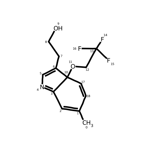 CC1=CC2=NC=C(CCO)C2(OCC(F)(F)F)C=C1